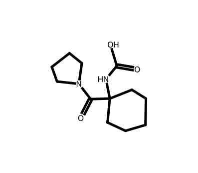 O=C(O)NC1(C(=O)N2CCCC2)CCCCC1